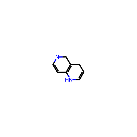 C1=CNC2=C(C1)C[N]C=C2